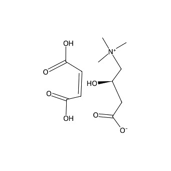 C[N+](C)(C)C[C@H](O)CC(=O)[O-].O=C(O)/C=C\C(=O)O